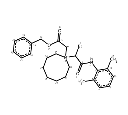 CCC(C(=O)Nc1c(C)cccc1C)[N+]1(CC(=O)OCc2ccccc2)CCCCCCC1